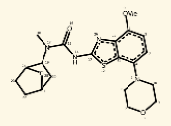 COc1ccc(N2CCOCC2)c2sc(NC(=O)N(C)C3CC4CCC3O4)nc12